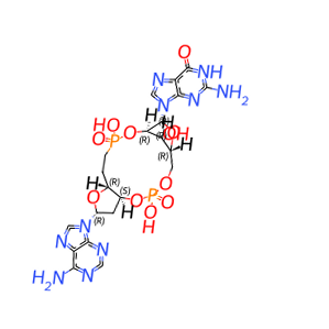 Nc1nc2c(ncn2[C@@H]2O[C@@H]3COP(=O)(O)O[C@H]4C[C@H](n5cnc6c(N)ncnc65)O[C@@H]4CCP(=O)(O)O[C@@H]2[C@@H]3O)c(=O)[nH]1